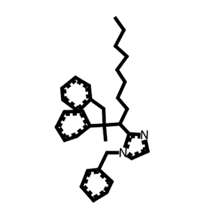 CCCCCCCCC(c1nccn1Cc1ccccc1)C(C)(Cc1ccccc1)c1ccccc1